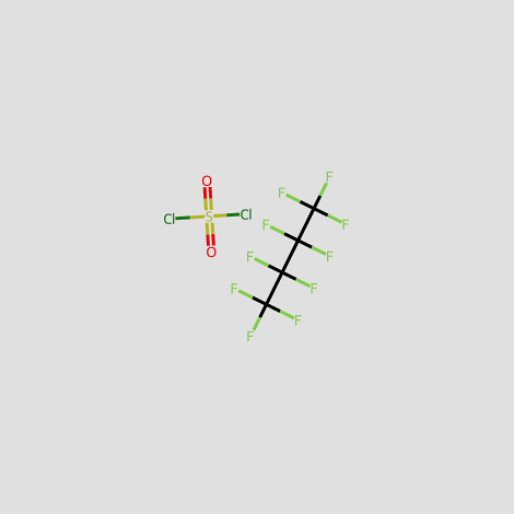 FC(F)(F)C(F)(F)C(F)(F)C(F)(F)F.O=S(=O)(Cl)Cl